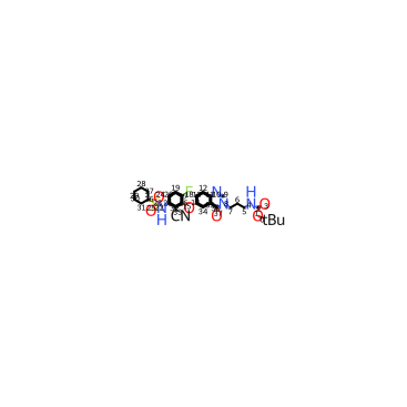 CC(C)(C)OC(=O)NCCCn1cnc2ccc(Oc3c(F)ccc(NS(=O)(=O)C4CCCCC4)c3C#N)cc2c1=O